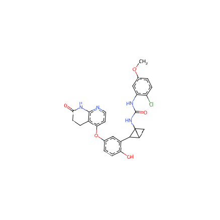 COc1ccc(Cl)c(NC(=O)NC23CC2C3c2cc(Oc3ccnc4c3CCC(=O)N4)ccc2O)c1